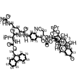 CCCC1O[C@@H]2C[C@H]3[C@@H]4CCC5=CC(=O)C=C[C@]5(C)[C@H]4[C@@H](O)C[C@]3(C)[C@]2(C(=O)COP(=O)(OCCC#N)OCc2ccc(NC(=O)C(CCCNC(N)=O)NC(=O)[C@@H](NC(=O)OCC3c4ccccc4-c4ccccc43)C(C)C)cc2)O1